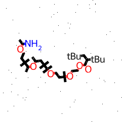 CC(N)OCCC(C)(C)C(C)OC(C)CC(C)(C)C(C)(C)OCCC(C)(C)OCCOC(=O)C(CC(C)(C)C)C(C)(C)C